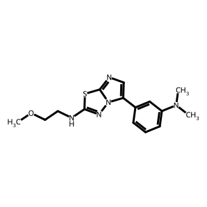 COCCNc1nn2c(-c3cccc(N(C)C)c3)cnc2s1